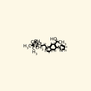 CC(O)c1cc2c(cnn2CCO[Si](C)(C)C(C)(C)C)cc1-n1cccn1